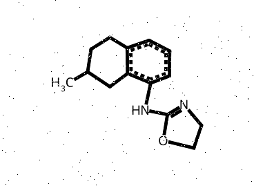 CC1CCc2cccc(NC3=NCCO3)c2C1